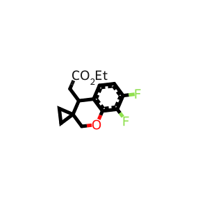 CCOC(=O)CC1c2ccc(F)c(F)c2OCC12CC2